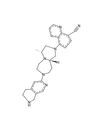 C[C@@H]1CN(c2ccc(C#N)c3ncccc23)C[C@@H]2CCN(c3cc4c(cn3)CNCC4)CCN21